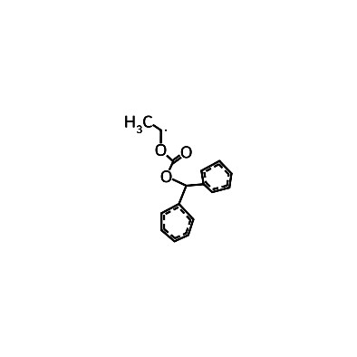 C[CH]OC(=O)OC(c1ccccc1)c1ccccc1